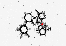 Cc1cc(N2C[C@H]3CC[C@@H](C2)C3Nc2nc3n(n2)CCCC3c2cc(F)c(F)c(F)c2)sn1